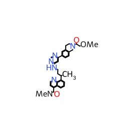 CNC(=O)c1ccnc2c(C(C)CCNc3cc(-c4ccc5c(c4)CCN(C(=O)COC)C5)ncn3)cccc12